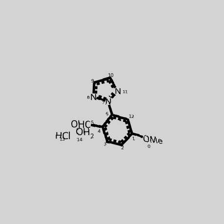 COc1ccc(C=O)c(-n2nccn2)c1.Cl.O